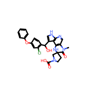 CN1C(=O)C2(CCN(C(=O)O)C2)Nc2c1cnc1[nH]cc(C(O)c3ccc(Oc4ccccc4)cc3Cl)c21